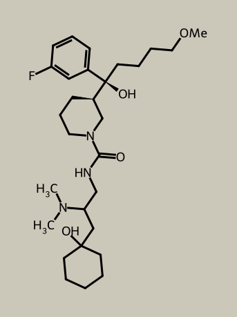 COCCCC[C@@](O)(c1cccc(F)c1)[C@@H]1CCCN(C(=O)NCC(CC2(O)CCCCC2)N(C)C)C1